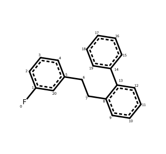 Fc1cccc(C[CH]c2ccccc2-c2ccccc2)c1